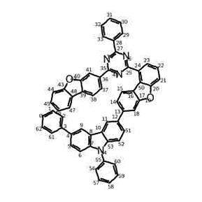 c1ccc(-c2ccc3c(c2)c2cc(-c4ccc5c(c4)oc4cccc(-c6nc(-c7ccccc7)nc(-c7ccc8c(c7)oc7ccccc78)n6)c45)ccc2n3-c2ccccc2)cc1